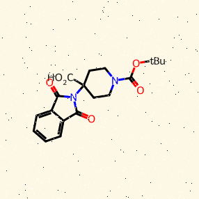 CC(C)(C)OC(=O)N1CCC(C(=O)O)(N2C(=O)c3ccccc3C2=O)CC1